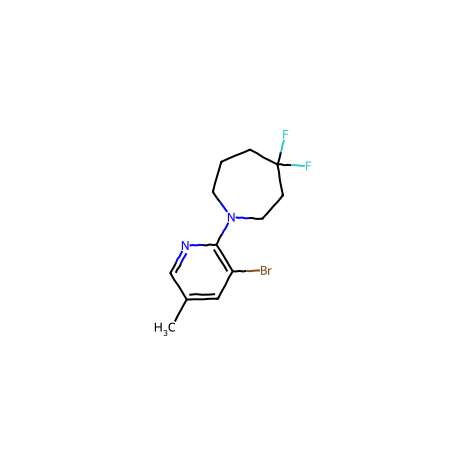 Cc1cnc(N2CCCC(F)(F)CC2)c(Br)c1